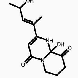 C/C(=C\C(C)O)C1=CC(=O)N2CCCC(=O)C2(O)N1